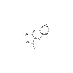 NC(=O)/C(=C\c1ccccc1)[N+](=O)[O-]